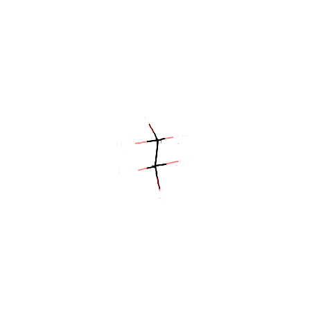 BC(B)(Br)C(B)(B)Br